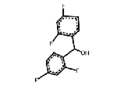 OC(c1ccc(F)cc1F)c1ccc(F)cc1F